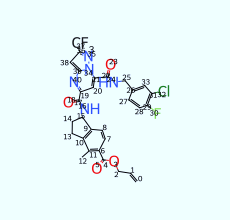 C=CCOC(=O)c1ccc2c(c1C)CC[C@@H]2NC(=O)c1cc(C(=O)NCc2ccc(F)c(Cl)c2)n2nc(C(F)(F)F)cc2n1